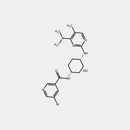 Cc1cnc(N[C@H]2CC[C@@H](NC(=O)c3cncc(Br)c3)CC2)nc1N(C)C.Cl